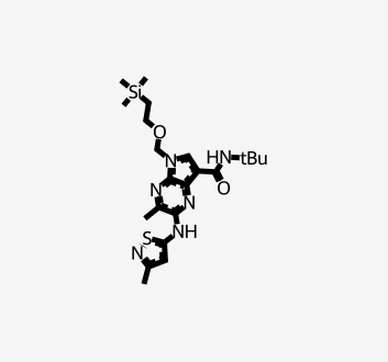 Cc1cc(Nc2nc3c(C(=O)NC(C)(C)C)cn(COCC[Si](C)(C)C)c3nc2C)sn1